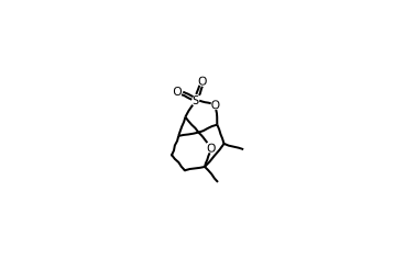 CC1C2OS(=O)(=O)C3C4CCC1(C)OC423